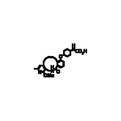 COc1nc(C)cc2c1CNC(=O)c1cccc(O[C@H]3CC[C@H](NC(=O)O)CC3)c1C/C=C\CC2